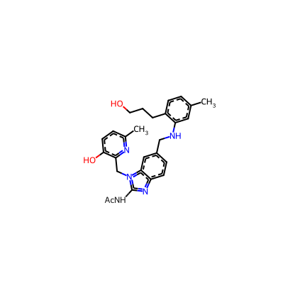 CC(=O)Nc1nc2ccc(CNc3cc(C)ccc3CCCO)cc2n1Cc1nc(C)ccc1O